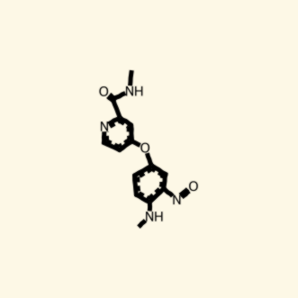 CNC(=O)c1cc(Oc2ccc(NC)c(N=O)c2)ccn1